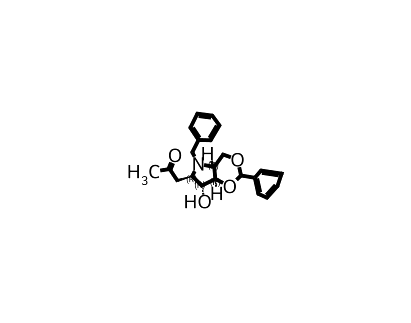 CC(=O)C[C@@H]1[C@@H](O)[C@@H]2OC(c3ccccc3)OC[C@H]2N1Cc1ccccc1